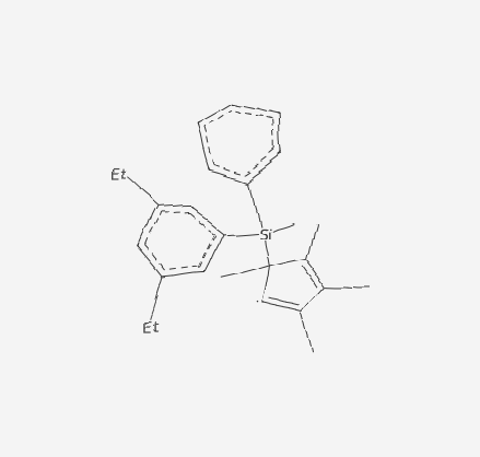 CCc1cc(CC)cc([Si](C)(c2ccccc2)C2(C)[C]=C(C)C(C)=C2C)c1